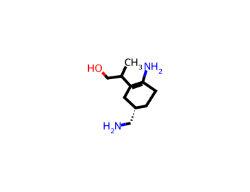 CC(CO)C1=C(N)CC[C@H](CN)C1